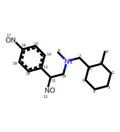 CC1CCCCC1CN(C)CC(N=O)c1ccc(N=O)cc1